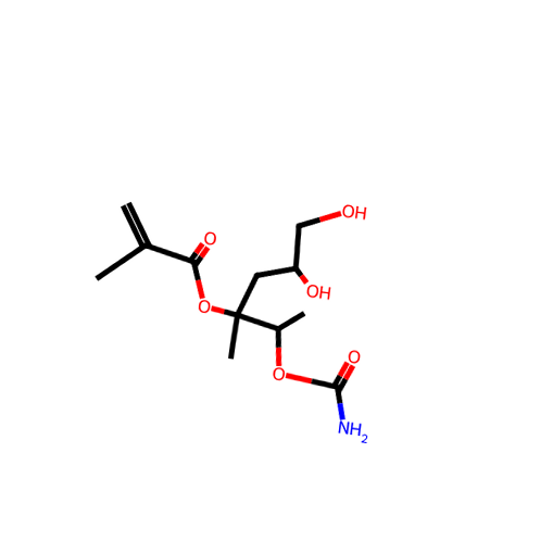 C=C(C)C(=O)OC(C)(CC(O)CO)C(C)OC(N)=O